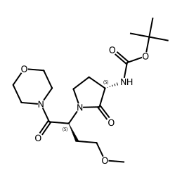 COCC[C@@H](C(=O)N1CCOCC1)N1CC[C@H](NC(=O)OC(C)(C)C)C1=O